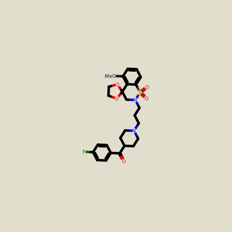 COc1cccc2c1C1(CN(CCCN3CCC(C(=O)c4ccc(F)cc4)CC3)S2(=O)=O)OCCO1